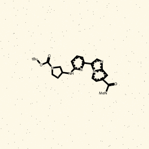 CNC(=O)c1ccn2c(-c3cccc(NC4CCN(C(=O)OC(C)(C)C)C4)n3)cnc2c1